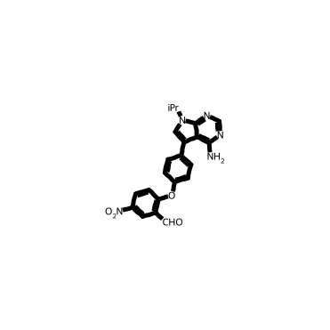 CC(C)n1cc(-c2ccc(Oc3ccc([N+](=O)[O-])cc3C=O)cc2)c2c(N)ncnc21